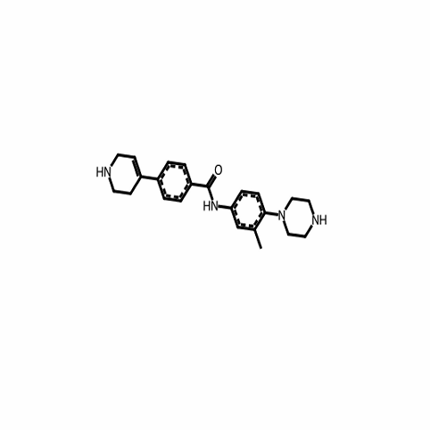 Cc1cc(NC(=O)c2ccc(C3=CCNCC3)cc2)ccc1N1CCNCC1